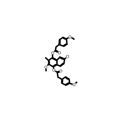 COc1ccc(CC(=O)Oc2c(C)c(OC)c(OC(=O)Cc3ccc(OC)cc3)c3ccc(Cl)cc23)cc1